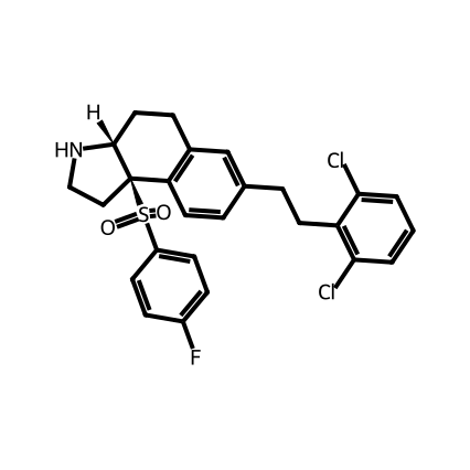 O=S(=O)(c1ccc(F)cc1)[C@@]12CCN[C@@H]1CCc1cc(CCc3c(Cl)cccc3Cl)ccc12